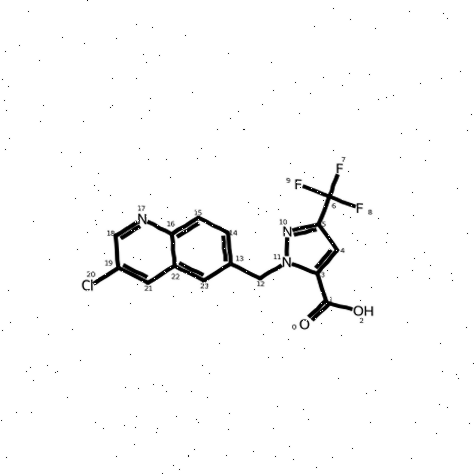 O=C(O)c1cc(C(F)(F)F)nn1Cc1ccc2ncc(Cl)cc2c1